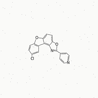 Clc1ccc2oc3ccc4oc(-c5ccncc5)nc4c3c2c1